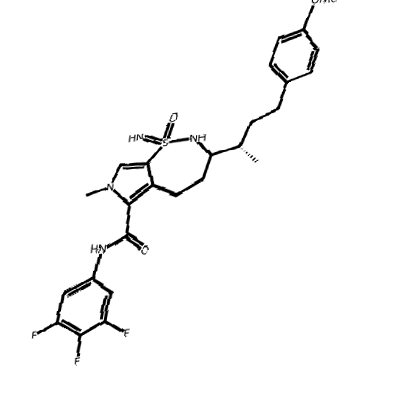 COc1ccc(CC[C@H](C)C2CCc3c(cn(C)c3C(=O)Nc3cc(F)c(F)c(F)c3)S(=N)(=O)N2)cc1